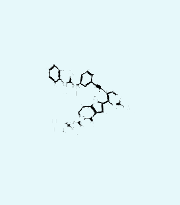 Cn1c(-c2nc(N)ncc2C#Cc2cccc(NC(=O)Nc3ccccc3)c2)cc2c1CCN(C(=O)OC(C)(C)C)C2=O